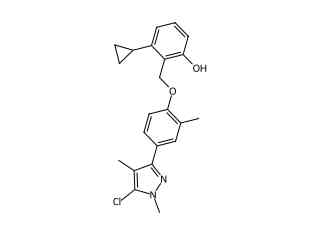 Cc1cc(-c2nn(C)c(Cl)c2C)ccc1OCc1c(O)cccc1C1CC1